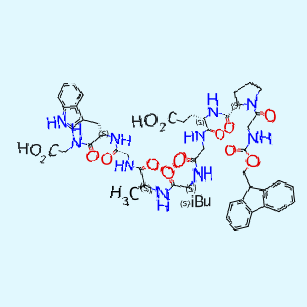 CC[C@H](C)[C@H](NC(=O)CNC(=O)[C@H](CCC(=O)O)NC(=O)[C@@H]1CCCN1C(=O)CNC(=O)OCC1c2ccccc2-c2ccccc21)C(=O)N[C@@H](C)C(=O)NCC(=O)N[C@@H](Cc1c[nH]c2ccccc12)C(=O)NCC(=O)O